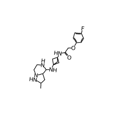 CC1CC2C(NC34CC(NC(=O)COc5ccc(F)cc5)(C3)C4)NCCN2N1